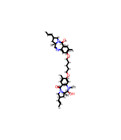 C/C=C/C1C[C@H]2C=Nc3cc(OCCCCCOc4cc5c(cc4C)C(=O)N4CC(/C=C/C)C[C@H]4C(O)N5C(C)C)c(C)cc3C(=O)N2C1